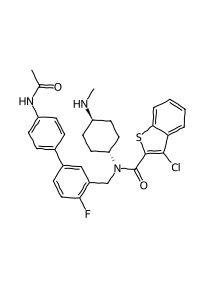 CN[C@H]1CC[C@H](N(Cc2cc(-c3ccc(NC(C)=O)cc3)ccc2F)C(=O)c2sc3ccccc3c2Cl)CC1